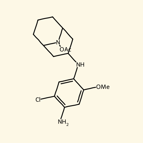 COc1cc(N)c(Cl)cc1NC1CC2CCCC(C1)N2OC(C)=O